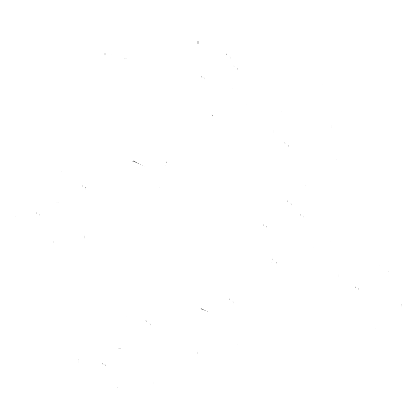 CCN(C(=O)c1cc(F)ccc1Oc1nncnc1N1CCC2(C1)CN([C@H](CCCN(C)CC(C)C(=O)N(C)C)C(C)C)C2)C(C)C.CCN(C(=O)c1cc(F)ccc1Oc1nncnc1N1CCC2(C1)CN([C@H](CCCN(C)CC(C)C(=O)N(C)C)C(C)C)C2)C(C)C.O=C(O)/C=C/C(=O)O